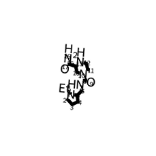 CCN1CCCC1CNC(=O)N1CCNC(C(N)=O)C1